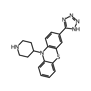 c1ccc2c(c1)Sc1cc(-c3nnn[nH]3)ccc1N2C1CCNCC1